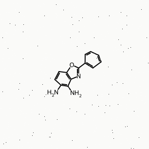 Nc1ccc2oc(-c3ccccc3)nc2c1N